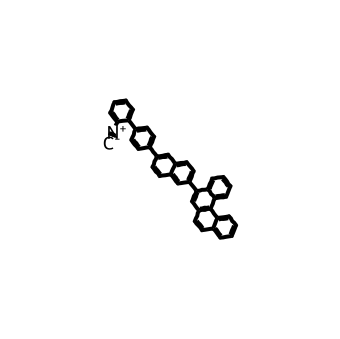 [C-]#[N+]c1ccccc1-c1ccc(-c2ccc3cc(-c4cc5ccc6ccccc6c5c5ccccc45)ccc3c2)cc1